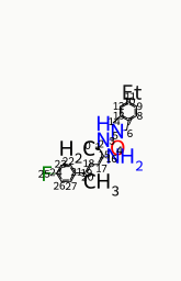 C=C(NC(=O)N1Cc2ccc(CC)cc2C1)/C(N)=C\C=C(/C)c1ccc(F)cc1